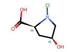 O=C(O)[C@@H]1C[C@H](O)CN1Cl